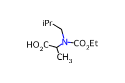 CCOC(=O)N(CC(C)C)C(C)C(=O)O